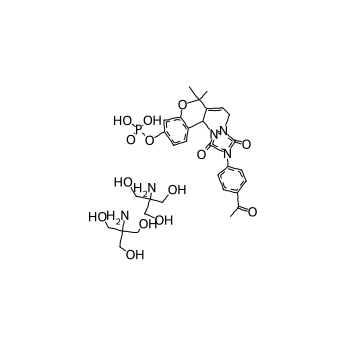 CC(=O)c1ccc(-n2c(=O)n3n(c2=O)C2C(=CC3)C(C)(C)Oc3cc(OP(=O)(O)O)ccc32)cc1.NC(CO)(CO)CO.NC(CO)(CO)CO